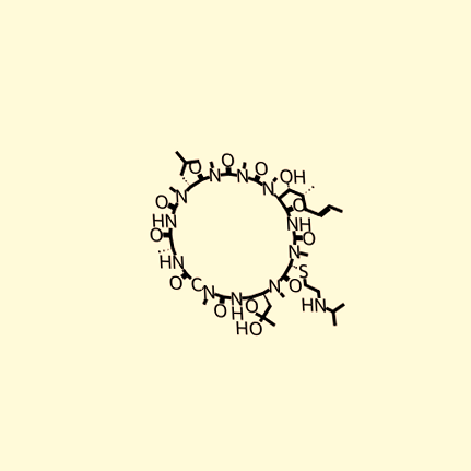 C/C=C/C[C@@H](C)[C@@H](O)[C@H]1C(=O)NC(=O)N(C)[C@H](SCCNC(C)C)C(=O)N(C)[C@@H](CC(C)(C)O)C(=O)NC(=O)N(C)CC(=O)N[C@H](C)C(=O)NC(=O)N(C)[C@H](CC(C)C)C(=O)N(C)C(=O)N(C)C(=O)N1C